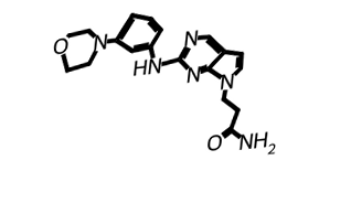 NC(=O)CCn1ccc2cnc(Nc3cccc(N4CCOCC4)c3)nc21